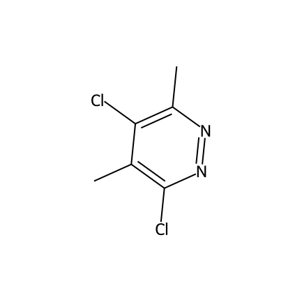 Cc1nnc(Cl)c(C)c1Cl